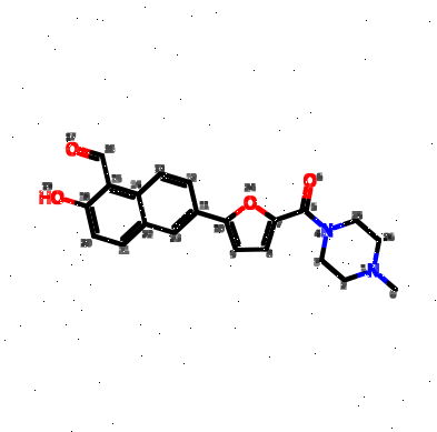 CN1CCN(C(=O)c2ccc(-c3ccc4c(C=O)c(O)ccc4c3)o2)CC1